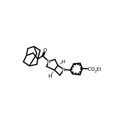 CCOC(=O)c1ccc(N2C[C@H]3CN(C(=O)C45CC6CC(CC(C6)C4)C5)C[C@H]32)cc1